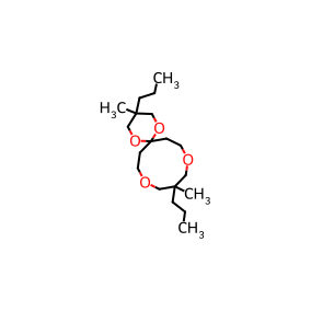 CCCC1(C)COCCC2(CCOC1)OCC(C)(CCC)CO2